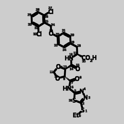 CCSc1nnc(NC(=O)[C@@H]2OCO[C@H]2C(=O)N[C@@H](Cc2ccc(OCc3c(Cl)cccc3Cl)cc2)C(=O)O)s1